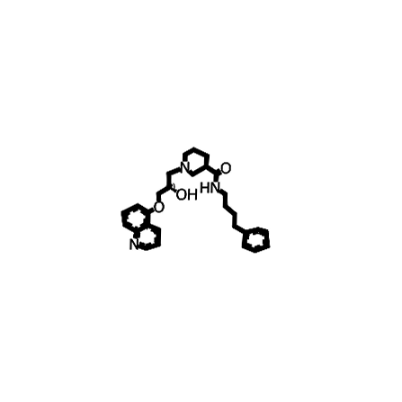 O=C(NCCCCc1ccccc1)C1CCCN(C[C@@H](O)COc2cccc3ncccc23)C1